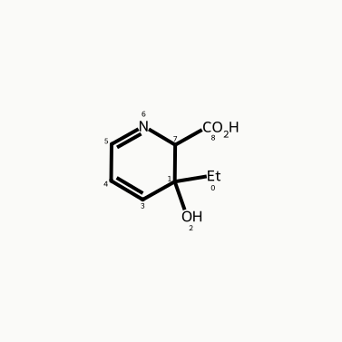 CCC1(O)C=CC=NC1C(=O)O